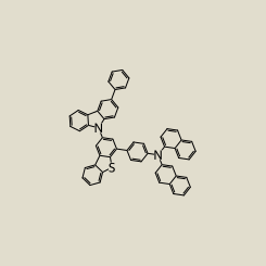 c1ccc(-c2ccc3c(c2)c2ccccc2n3-c2cc(-c3ccc(N(c4ccc5ccccc5c4)c4cccc5ccccc45)cc3)c3sc4ccccc4c3c2)cc1